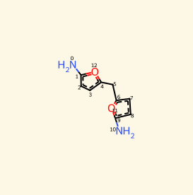 Nc1ccc(Cc2ccc(N)o2)o1